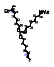 C/C=C/CCCCOP(OCCCC/C=C(/C)CC)OCCCCCCNC